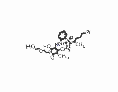 CCN(C(C)CCCC(C)C)S(=O)(=O)c1ccccc1/N=N/c1c(C)c(C)c(=O)n(CCOCCO)c1O